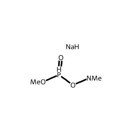 CNO[PH](=O)OC.[NaH]